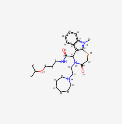 CC(C)OCCCNC(=O)C1c2c(n(C)c3ccccc23)SCC(=O)N1CCN1CCCCCC1